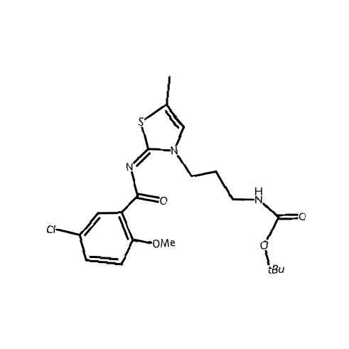 COc1ccc(Cl)cc1C(=O)N=c1sc(C)cn1CCCNC(=O)OC(C)(C)C